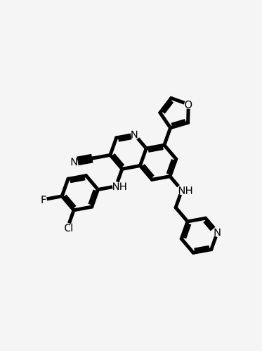 N#Cc1cnc2c(-c3ccoc3)cc(NCc3cccnc3)cc2c1Nc1ccc(F)c(Cl)c1